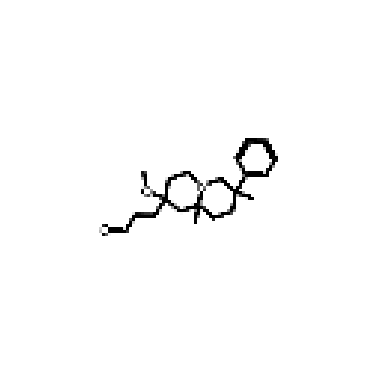 COC1(CCC=O)CCN2CC(C)(c3ccccc3)CCC2(C)C1